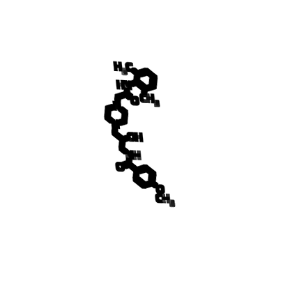 COc1ccc(C(=O)NCC(O)CN2CCN(CC(=O)Nc3c(C)cccc3C)CC2)cc1